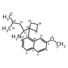 COc1ccc2cccc(C3(C(N)CC(C)C)CCC3)c2c1